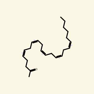 CCCCC/C=C\C/C=C\C/C=C\C/C=C\C/C=C\CCC(C)=O